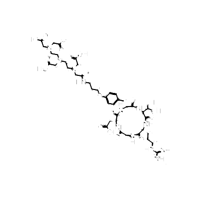 CC(C)C1NC(=O)[C@@H](Cc2ccc(OCCCNC(=O)CN(CCN(CCN(CC(=O)O)CC(=O)O)CC(=O)O)CC(=O)O)cc2)NC(=O)[C@H](CC(=O)O)NC(=O)CNC(=O)[C@H](CCCNC(=N)N)NC1=O